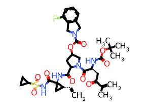 C=C[C@@H]1C[C@]1(NC(=O)C1CC(OC(=O)N2Cc3cccc(F)c3C2)CN1C(=O)[C@H](CC(=O)C(=C)C)NC(=O)OC(C)(C)C)C(=O)NS(=O)(=O)C1CC1